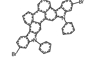 Brc1ccc2c3c4cccc5c6cccc7c6c(cc6c7c7ccc(Br)cc7n6-c6ccccc6)c(cc3n(-c3ccccc3)c2c1)c54